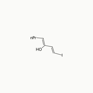 CCCC=C(O)C=CI